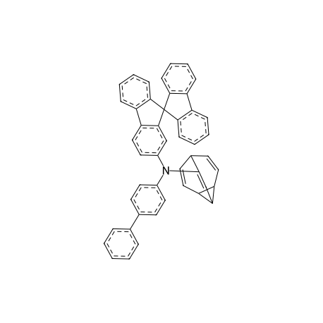 C1=CC2C3C=CC1C(N(c1ccc(-c4ccccc4)cc1)c1ccc4c(c1)C1(c5ccccc5-c5ccccc51)c1ccccc1-4)=CC23